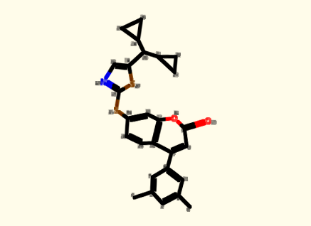 Cc1cc(C)cc(-c2cc(=O)oc3cc(Sc4ncc(C(C5CC5)C5CC5)s4)ccc23)c1